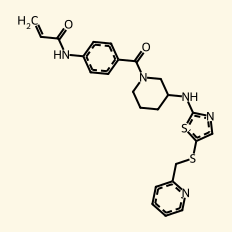 C=CC(=O)Nc1ccc(C(=O)N2CCCC(Nc3ncc(SCc4ccccn4)s3)C2)cc1